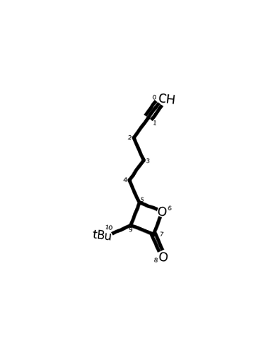 C#CCCCC1OC(=O)C1C(C)(C)C